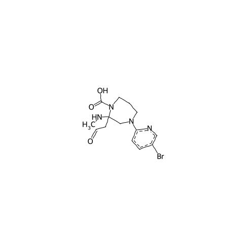 CNC1(CC=O)CN(c2ccc(Br)cn2)CCCN1C(=O)O